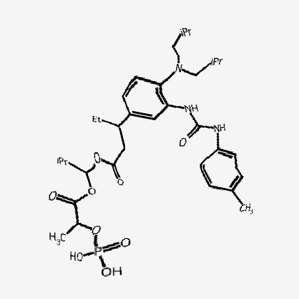 CCC(CC(=O)OC(OC(=O)C(C)OP(=O)(O)O)C(C)C)c1ccc(N(CC(C)C)CC(C)C)c(NC(=O)Nc2ccc(C)cc2)c1